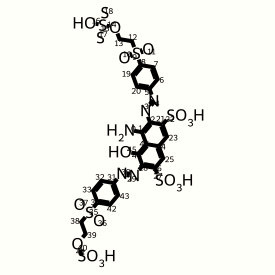 Nc1c(N=Nc2ccc(S(=O)(=O)CCOS(O)(=S)=S)cc2)c(S(=O)(=O)O)cc2cc(S(=O)(=O)O)c(N=Nc3ccc(S(=O)(=O)CCOS(=O)(=O)O)cc3)c(O)c12